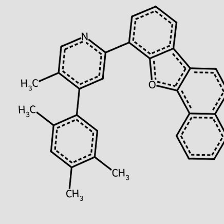 Cc1cc(C)c(-c2cc(-c3cccc4c3oc3c5ccccc5ccc43)ncc2C)cc1C